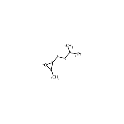 CC(C)C(C)CCC1OC1C